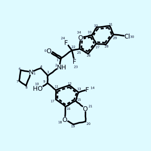 O=C(NC(CN1CCC1)C(O)c1cc(F)c2c(c1)OCCO2)C(F)(F)c1cc2cc(Cl)ccc2o1